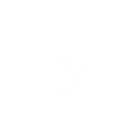 c1ccc(-c2ccc3c4c5ccccc5c5c6ccccc6sc5c4n(-c4nc(-c5ccccc5)c5ccccc5n4)c3c2)cc1